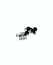 CCNC(=O)Nc1nc2cc(-c3cc(Cc4n[nH]c(=O)c5ccccc45)ccc3F)cnc2[nH]1